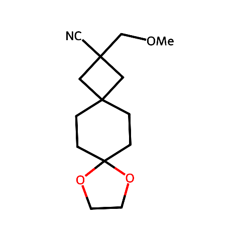 COCC1(C#N)CC2(CCC3(CC2)OCCO3)C1